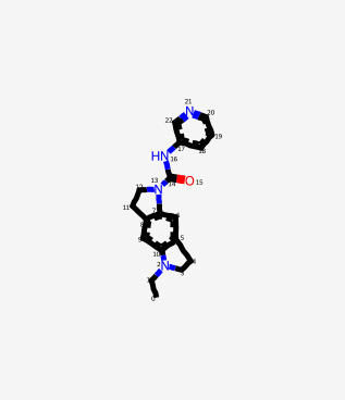 CCN1CCc2cc3c(cc21)CCN3C(=O)Nc1cccnc1